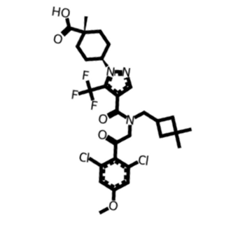 COc1cc(Cl)c(C(=O)CN(CC2CC(C)(C)C2)C(=O)c2cnn([C@H]3CC[C@](C)(C(=O)O)CC3)c2C(F)(F)F)c(Cl)c1